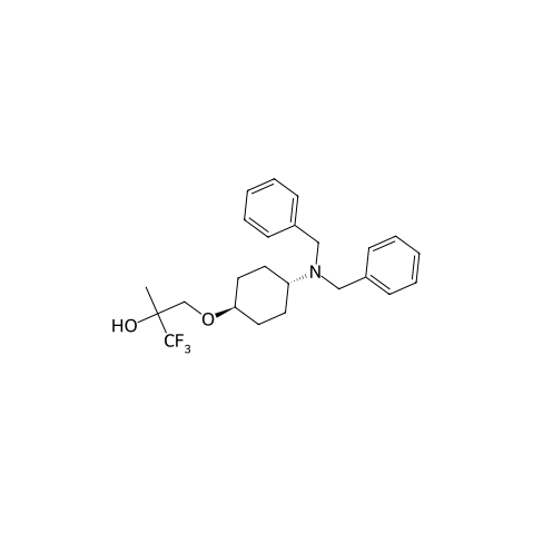 CC(O)(CO[C@H]1CC[C@H](N(Cc2ccccc2)Cc2ccccc2)CC1)C(F)(F)F